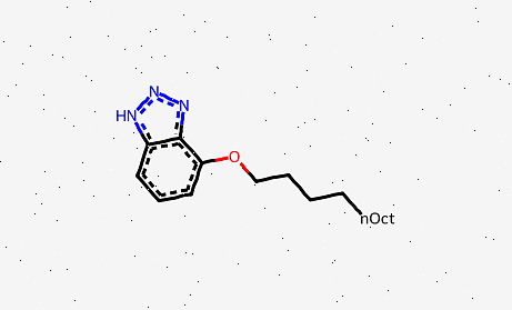 CCCCCCCCCCCCOc1cccc2[nH]nnc12